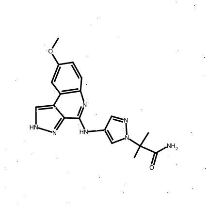 COc1ccc2nc(Nc3cnn(C(C)(C)C(N)=O)c3)c3n[nH]cc3c2c1